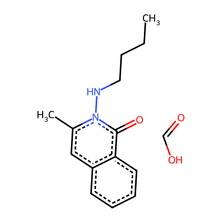 CCCCNn1c(C)cc2ccccc2c1=O.O=CO